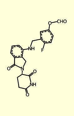 O=COc1ccc(F)c(CNc2cccc3c2CN(C2CCC(=O)NC2=O)C3=O)c1